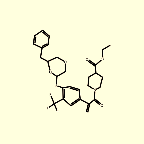 C=C(C(=O)N1CCC(C(=O)OCC)CC1)c1ccc(SC2COCC(Cc3ccccc3)O2)c(C(F)(F)F)c1